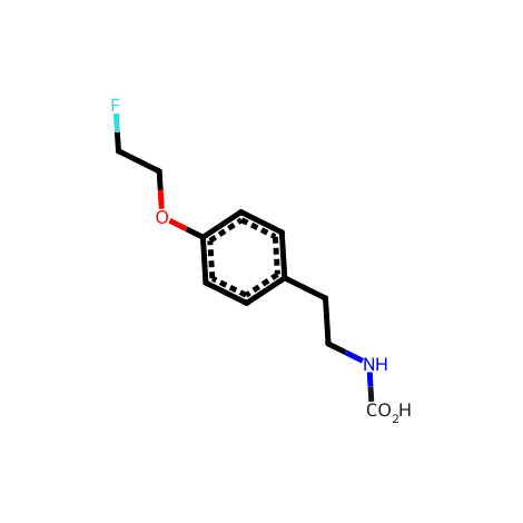 O=C(O)NCCc1ccc(OCCF)cc1